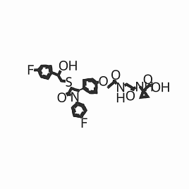 O=C(COc1ccc([C@@H]2[C@@H](SCC(O)c3ccc(F)cc3)C(=O)N2c2ccc(F)cc2)cc1)NCC(=O)NC1(C(=O)O)CC1